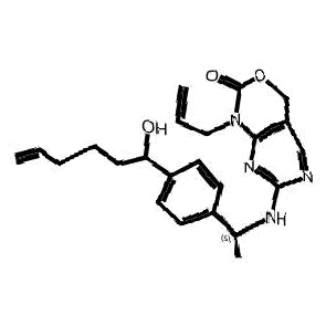 C=CCCCC(O)c1ccc([C@H](C)Nc2ncc3c(n2)N(CC=C)C(=O)OC3)cc1